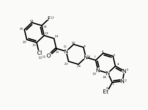 CCc1nnc2ccc(N3CCN(C(=O)Cc4c(F)cccc4Cl)CC3)nn12